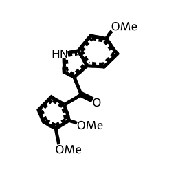 COc1ccc2c(C(=O)c3cccc(OC)c3OC)c[nH]c2c1